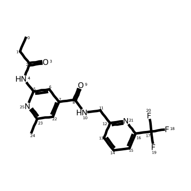 CCC(=O)Nc1cc(C(=O)NCc2cccc(C(F)(F)F)n2)cc(C)n1